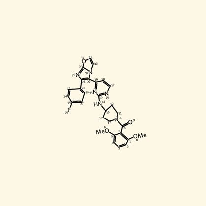 COc1cccc(OC)c1C(=O)N1CCC(Nc2nccc(-c3c(-c4ccc(F)cc4)nc4occn34)n2)CC1